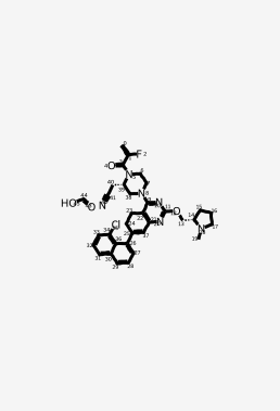 C=C(F)C(=O)N1CCN(c2nc(OC[C@@H]3CCCN3C)nc3c2CCC(c2cccc4cccc(Cl)c24)=C3)C[C@@H]1CC#N.O=CO